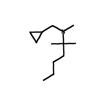 CCCCC(C)(C)N(C)CC1CC1